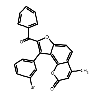 Cc1cc(=O)oc2c1ccc1oc(C(=O)c3ccccc3)c(-c3cccc(Br)c3)c12